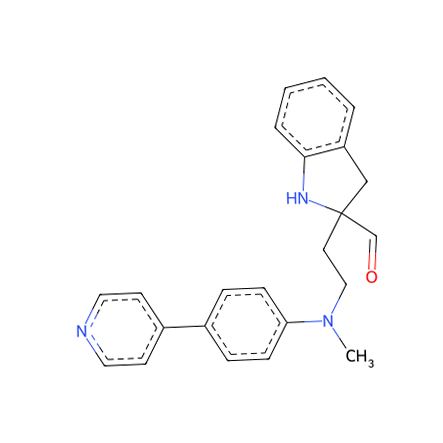 CN(CCC1(C=O)Cc2ccccc2N1)c1ccc(-c2ccncc2)cc1